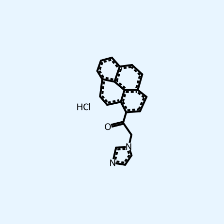 Cl.O=C(Cn1ccnc1)c1ccc2ccc3cccc4ccc1c2c34